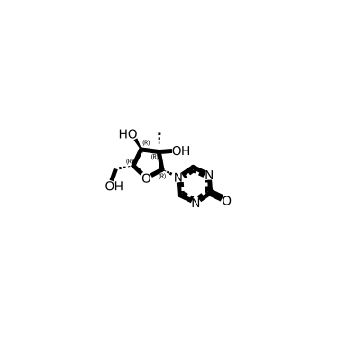 C[C@@]1(O)[C@H](O)[C@@H](CO)O[C@H]1n1cnc(=O)nc1